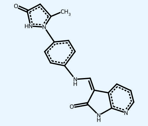 Cc1cc(=O)[nH]n1-c1ccc(NC=C2C(=O)Nc3ncccc32)cc1